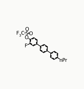 CCCc1ccc(-c2ccc(-c3ccc(OS(=O)(=O)C(F)(F)F)c(F)c3)cc2)cc1